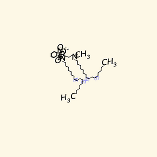 CCCCC/C=C\C/C=C\CCCCCCCCN(C)CCCN(CCCCCCCC/C=C\C/C=C\CCCCC)S(=O)(=O)c1ccccc1[N+](=O)[O-]